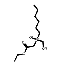 CCCCCC[N+]([O-])(CO)CC(=O)OCC